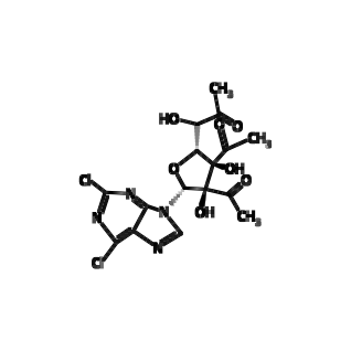 CC(=O)C(O)[C@H]1O[C@@H](n2cnc3c(Cl)nc(Cl)nc32)[C@@](O)(C(C)=O)[C@@]1(O)C(C)=O